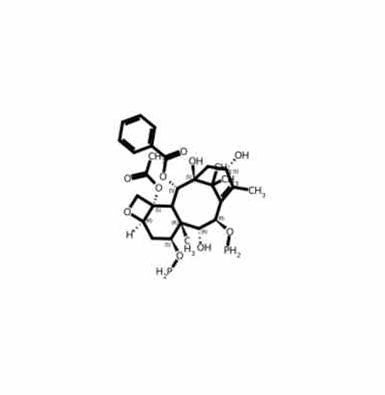 CC(=O)O[C@@]12CO[C@@H]1C[C@H](OP)[C@]1(C)C2[C@H](OC(=O)c2ccccc2)[C@]2(O)C[C@H](O)C(C)=C([C@@H](OP)[C@@H]1O)C2(C)C